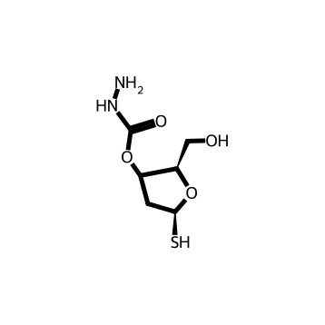 NNC(=O)OC1C[C@H](S)O[C@@H]1CO